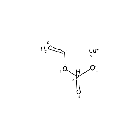 C=CO[PH](=O)[O-].[Cu+]